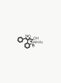 CC(=O)NS(=O)(=O)c1ccccc1-c1c(-c2ccccc2)noc1CO